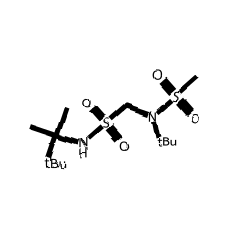 CC(C)(C)N(CS(=O)(=O)NC(C)(C)C(C)(C)C)S(C)(=O)=O